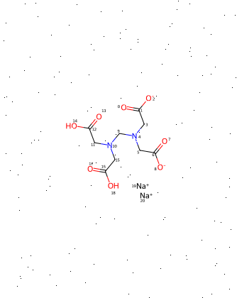 O=C([O-])CN(CC(=O)[O-])CN(CC(=O)O)CC(=O)O.[Na+].[Na+]